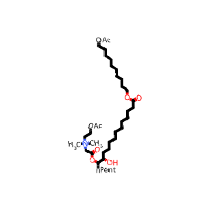 CCCCCC(OC(=O)C[N+](C)(C)CCOC(C)=O)C(O)CCCCCCCCCCC(=O)OCCCCCCCCCCOC(C)=O